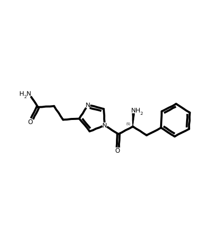 NC(=O)CCc1cn(C(=O)[C@@H](N)Cc2ccccc2)cn1